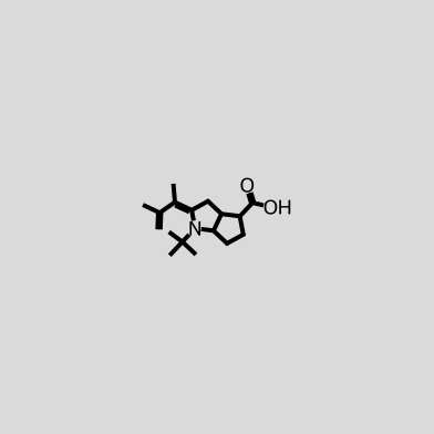 C=C(C)/C(C)=C1/CC2C(C(=O)O)CCC2N1C(C)(C)C